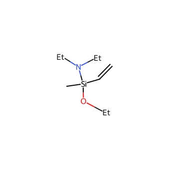 C=C[Si](C)(OCC)N(CC)CC